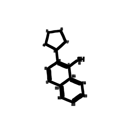 Sc1c(C2CCCC2)ccc2ccccc12